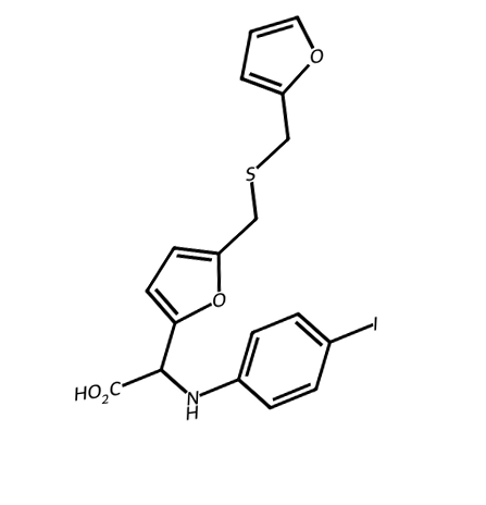 O=C(O)C(Nc1ccc(I)cc1)c1ccc(CSCc2ccco2)o1